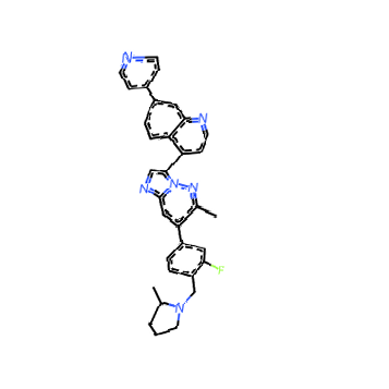 Cc1nn2c(-c3ccnc4cc(-c5ccncc5)ccc34)cnc2cc1-c1ccc(CN2CCCC2C)c(F)c1